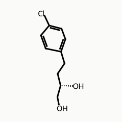 OC[C@@H](O)CCc1ccc(Cl)cc1